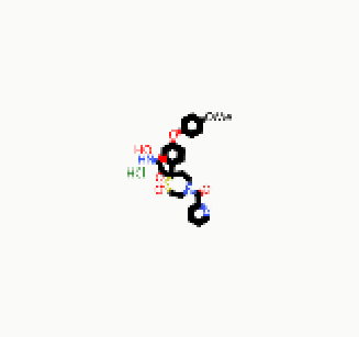 COc1ccc(Oc2ccc(C3(CC(=O)NO)CCN(C(=O)c4ccccn4)CCS3(=O)=O)cc2)cc1.Cl